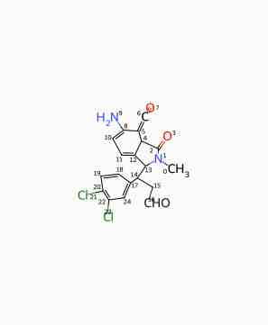 CN1C(=O)C2C(=C=O)C(N)=CC=C2C1C(CC=O)c1ccc(Cl)c(Cl)c1